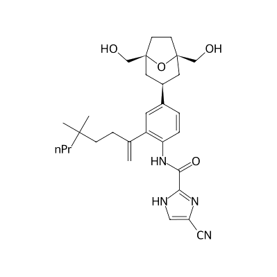 C=C(CCC(C)(C)CCC)c1cc([C@H]2C[C@]3(CO)CC[C@](CO)(C2)O3)ccc1NC(=O)c1nc(C#N)c[nH]1